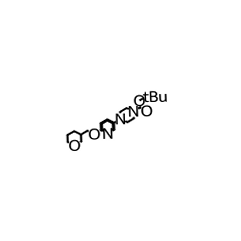 CC(C)(C)OC(=O)N1CCN(c2ccc(OCC3CCCOC3)nc2)CC1